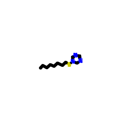 CCCCCCCCSN1C=NC=NC1